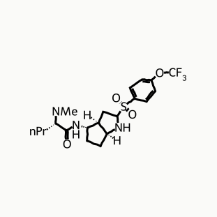 CCC[C@H](NC)C(=O)N[C@H]1CC[C@@H]2NC(S(=O)(=O)c3ccc(OC(F)(F)F)cc3)C[C@H]12